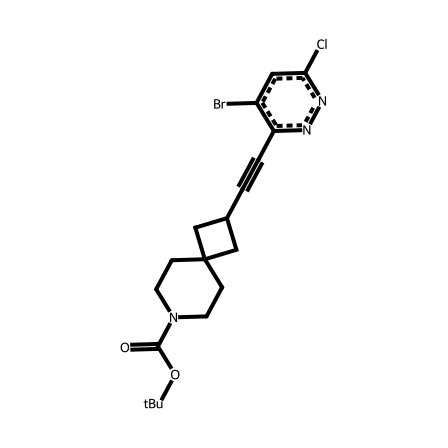 CC(C)(C)OC(=O)N1CCC2(CC1)CC(C#Cc1nnc(Cl)cc1Br)C2